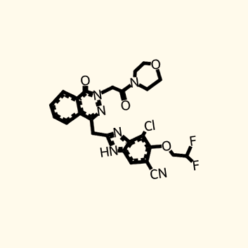 N#Cc1cc2[nH]c(Cc3nn(CC(=O)N4CCOCC4)c(=O)c4ccccc34)nc2c(Cl)c1OCC(F)F